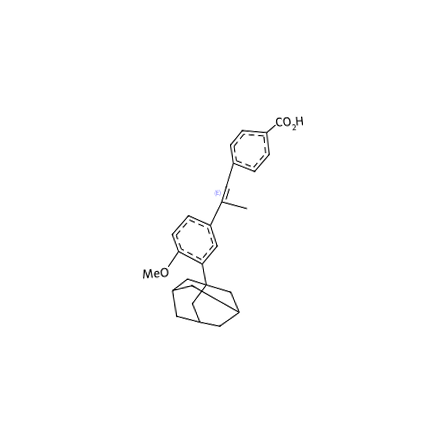 COc1ccc(/C(C)=C/c2ccc(C(=O)O)cc2)cc1C12CC3CC(CC(C3)C1)C2